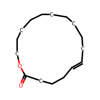 O=C1CCC/C=C/CCCCCCCCCCO1